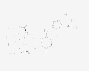 Cc1cc(Nc2nc(C[C@]3(C(=O)O)CCN(C(=O)O)[C@@](C)(C(C)(C)C)C3C(C)(C)C)c(F)c(Cl)c2Cl)nn1C(C)(C)C